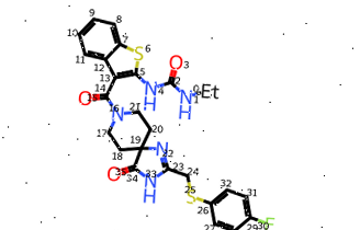 CCNC(=O)Nc1sc2ccccc2c1C(=O)N1CCC2(CC1)N=C(CSc1ccc(F)cc1)NC2=O